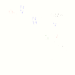 COc1nc(O[C@H]2CCc3c(-c4ccccc4)cccc32)c(Cl)cc1CNCC1CCC(=O)N1